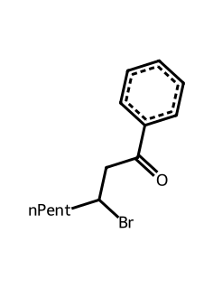 CCCCCC(Br)CC(=O)c1ccccc1